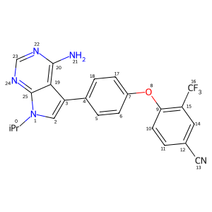 CC(C)n1cc(-c2ccc(Oc3ccc(C#N)cc3C(F)(F)F)cc2)c2c(N)ncnc21